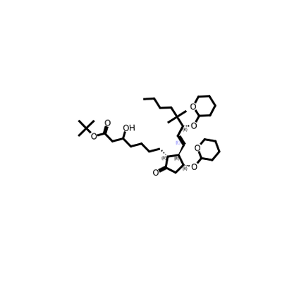 CCCCC(C)(C)[C@@H](/C=C/[C@H]1[C@H](OC2CCCCO2)CC(=O)[C@@H]1CCCCC(O)CC(=O)OC(C)(C)C)OC1CCCCO1